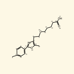 Cc1ccc(-c2nc(CCOCCCCC(=O)O)c(C)o2)cc1